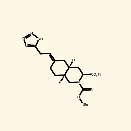 CCOC(=O)[C@@H]1C[C@H]2C/C(=C/Cc3nnn[nH]3)CC[C@H]2CN1C(=O)OC(C)(C)C